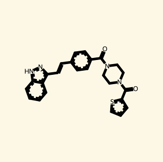 O=C(c1ccc(C=Cc2n[nH]c3ccccc23)cc1)N1CCN(C(=O)c2cccs2)CC1